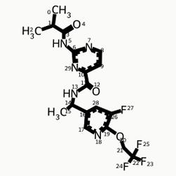 CC(C)C(=O)Nc1nccc(C(=O)NC(C)c2cnc(OCC(F)(F)F)c(F)c2)n1